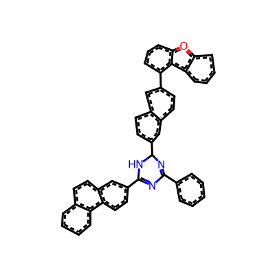 c1ccc(C2=NC(c3ccc4cc(-c5cccc6oc7ccccc7c56)ccc4c3)NC(c3ccc4c(ccc5ccccc54)c3)=N2)cc1